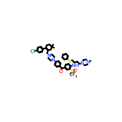 CN1CCN(CCC(CSc2ccccc2)Nc2ccc(C(=O)c3ccc(N4CCN(CC5=C(c6ccc(Cl)cc6)CCC(C)(C)C5)CC4)cc3)cc2[S+]([O-])C(F)(F)F)CC1